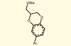 COCC1COc2ccc(C(C)=O)cc2O1